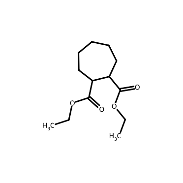 CCOC(=O)C1CCCCCC1C(=O)OCC